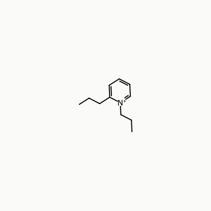 CCCc1cccc[n+]1CCC